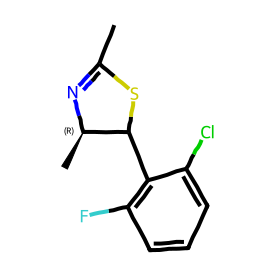 CC1=N[C@H](C)C(c2c(F)cccc2Cl)S1